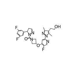 Cc1nn(-c2cc(OC3CN(C(=O)N4N=CCC4c4cc(F)cc(F)c4)C3)c(F)cn2)c(C)c1CCO